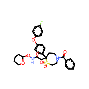 O=C(CC1(c2ccc(Oc3ccc(F)cc3)cc2)CCN(C(=O)c2ccccc2)CCS1(=O)=O)NOC1CCCCO1